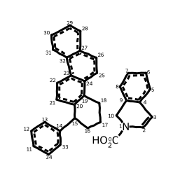 O=C(O)N1C=Cc2ccccc2C1.c1ccc(C2CCCc3c2ccc2c3ccc3ccccc32)cc1